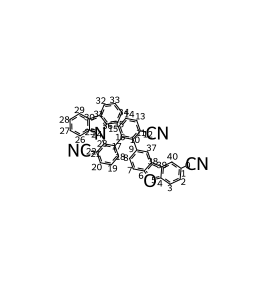 N#Cc1ccc2oc3ccc(-c4c(C#N)cccc4-c4cccc(C#N)c4-n4c5ccccc5c5ccccc54)cc3c2c1